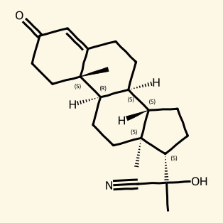 CC(O)(C#N)[C@H]1CC[C@H]2[C@@H]3CCC4=CC(=O)CC[C@@]4(C)[C@@H]3CC[C@]12C